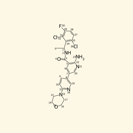 CC(NC(=O)c1cc(-c2ccc(N3CCOCC3)nc2)cnc1N)c1c(Cl)ccc(F)c1Cl